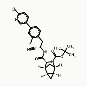 CC(C)(C)OC(=O)N1[C@H](C(=O)N[C@H](C#N)Cc2ccc(-c3ccc(Cl)nc3)cc2F)[C@@H]2C[C@H]1[C@H]1C[C@@H]21